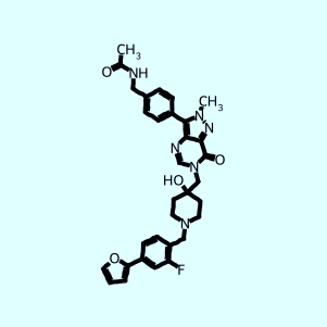 CC(=O)NCc1ccc(-c2c3ncn(CC4(O)CCN(Cc5ccc(-c6ccco6)cc5F)CC4)c(=O)c3nn2C)cc1